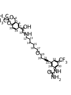 CC1(C)OCc2cc([C@H](O)CNCCCCCCOCCC#Cc3cc(NC(N)=O)cc(C(F)(F)F)c3)ccc2O1